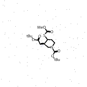 COC(=O)SC1CCN(C(=O)OC(C)(C)C)C/C1=C/C(=O)OC(C)(C)C